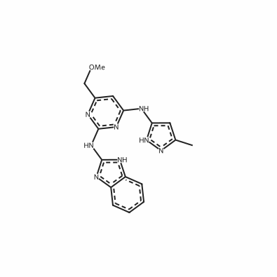 COCc1cc(Nc2cc(C)n[nH]2)nc(Nc2nc3ccccc3[nH]2)n1